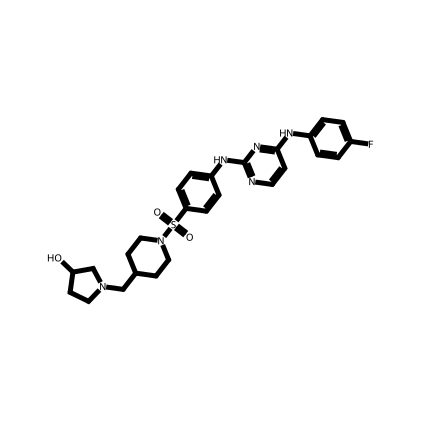 O=S(=O)(c1ccc(Nc2nccc(Nc3ccc(F)cc3)n2)cc1)N1CCC(CN2CCC(O)C2)CC1